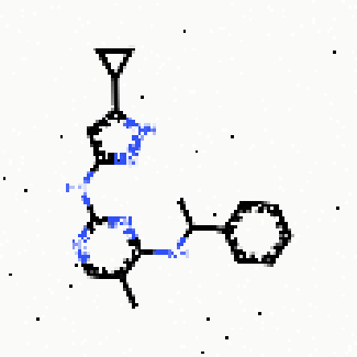 Cc1cnc(Nc2cc(C3CC3)[nH]n2)nc1NC(C)c1ccccc1